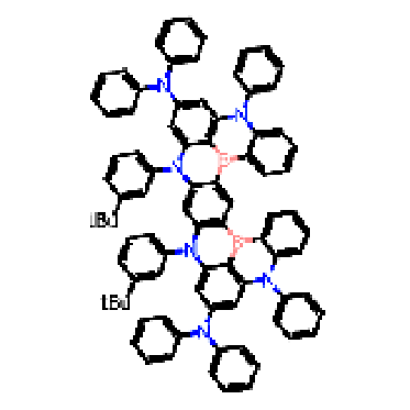 CC(C)(C)c1cccc(N2c3cc4c(cc3B3c5ccccc5N(c5ccccc5)c5cc(N(c6ccccc6)c6ccccc6)cc2c53)B2c3ccccc3N(c3ccccc3)c3cc(N(c5ccccc5)c5ccccc5)cc(c32)N4c2cccc(C(C)(C)C)c2)c1